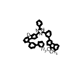 CC1(C)c2ccccc2-c2cc(-c3cccc(-c4nc(-c5ccccc5)nc(-c5ccc6c(c5)oc5cccc(-c7cccc(-c8ccccc8)c7)c56)n4)c3)ccc21